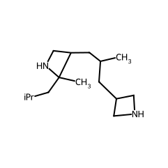 CC(C)CC1(C)NCC1CC(C)CC1CNC1